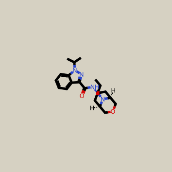 CCCN1[C@@H]2COC[C@H]1C[C@@H](NC(=O)c1nn(C(C)C)c3ccccc13)C2